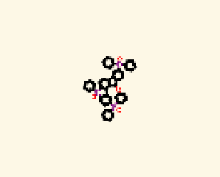 O=C1c2ccc(P(=O)(c3ccccc3)c3ccccc3)cc2-c2ccc3c(c21)-c1cc(P(=O)(c2ccccc2)c2ccccc2)ccc1P3(=O)c1ccccc1